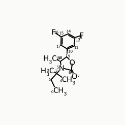 CCC(C)(C)N1C(=O)O[C@H](c2cc(F)cc(F)c2)[C@@H]1C